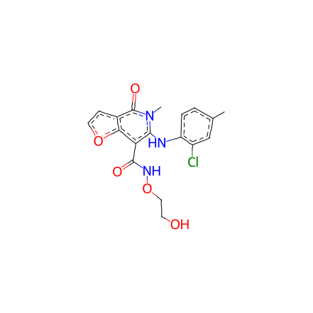 Cc1ccc(Nc2c(C(=O)NOCCO)c3occc3c(=O)n2C)c(Cl)c1